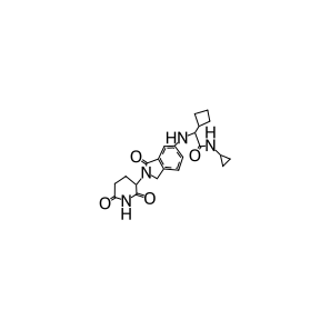 O=C1CCC(N2Cc3ccc(NC(C(=O)NC4CC4)C4CCC4)cc3C2=O)C(=O)N1